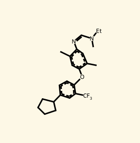 CCN(C)/C=N\c1cc(C)c(Oc2ccc(C3CCCC3)cc2C(F)(F)F)cc1C